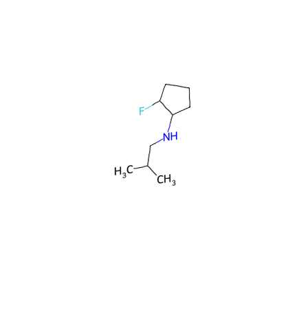 CC(C)CNC1CCCC1F